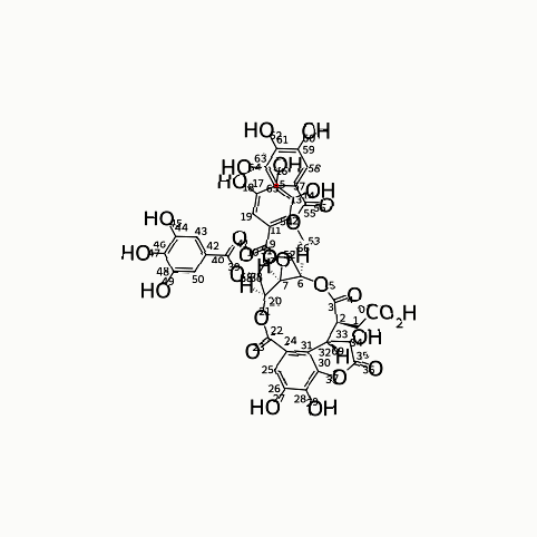 O=C(O)C[C@@H]1C(=O)O[C@H]2[C@H](OC(=O)c3cc(O)c(O)c(O)c3)[C@@H](OC(=O)c3cc(O)c(O)c4c3[C@H]1[C@H](O)C(=O)O4)[C@H](OC(=O)c1cc(O)c(O)c(O)c1)O[C@@H]2COC(=O)c1cc(O)c(O)c(O)c1